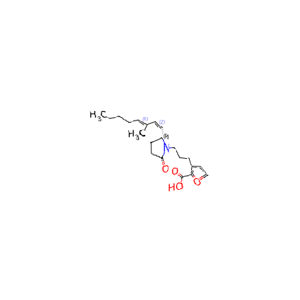 CCCC/C=C(C)/C=C\[C@H]1CCC(=O)N1CCCc1ccoc1C(=O)O